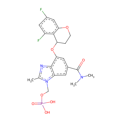 Cc1nc2c(OC3CCOc4cc(F)cc(F)c43)cc(C(=O)N(C)C)cc2n1COP(=O)(O)O